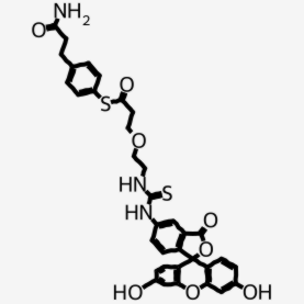 NC(=O)CCc1ccc(SC(=O)CCOCCNC(=S)Nc2ccc3c(c2)C(=O)OC32c3ccc(O)cc3Oc3cc(O)ccc32)cc1